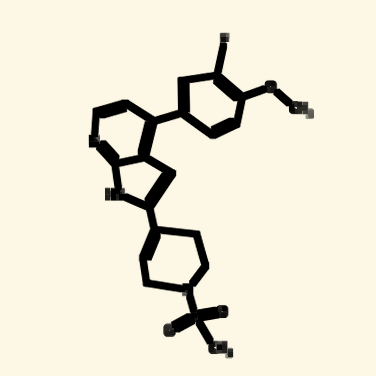 COc1ccc(-c2ccnc3[nH]c(C4=CCN(S(C)(=O)=O)CC4)cc23)cc1F